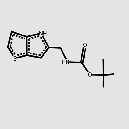 CC(C)(C)OC(=O)NCc1cc2sccc2[nH]1